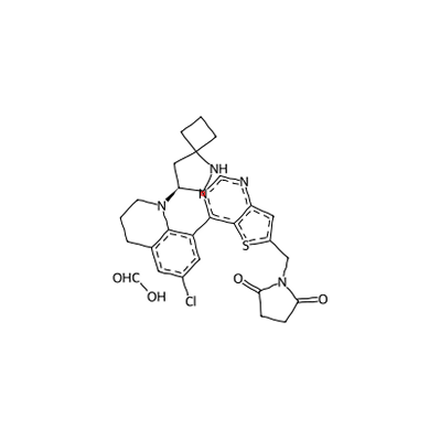 O=C1CCC(=O)N1Cc1cc2ncnc(-c3cc(Cl)cc4c3N([C@@H]3CNC5(CCC5)C3)CCC4)c2s1.O=CO